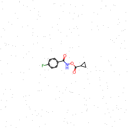 O=C(NOC(=O)C1CC1)c1ccc(F)cc1